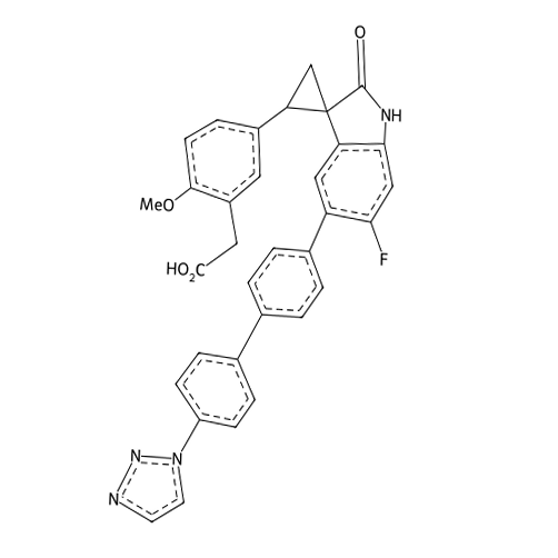 COc1ccc(C2CC23C(=O)Nc2cc(F)c(-c4ccc(-c5ccc(-n6ccnn6)cc5)cc4)cc23)cc1CC(=O)O